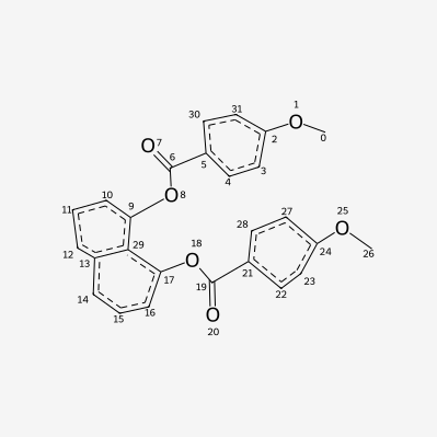 COc1ccc(C(=O)Oc2cccc3cccc(OC(=O)c4ccc(OC)cc4)c23)cc1